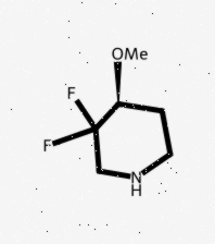 CO[C@H]1CCNCC1(F)F